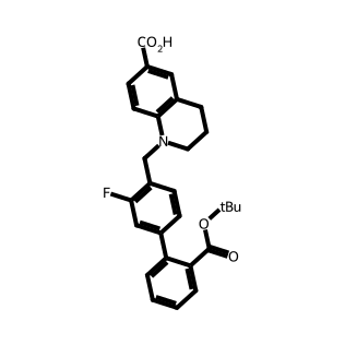 CC(C)(C)OC(=O)c1ccccc1-c1ccc(CN2CCCc3cc(C(=O)O)ccc32)c(F)c1